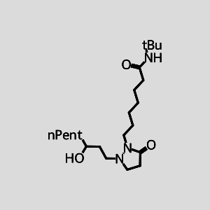 CCCCCC(O)CCN1CCC(=O)N1CCCCCCC(=O)NC(C)(C)C